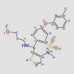 COCCCNC1c2ccc(Oc3cccc(C)c3)cc2S(=O)(=O)N(C)c2ccsc21